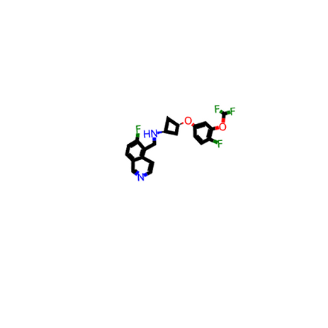 Fc1ccc(O[C@H]2C[C@H](NCc3c(F)ccc4cnccc34)C2)cc1OC(F)F